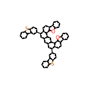 c1ccc2c(c1)oc1c2ccc2c(-c3ccc4sc5ccccc5c4c3)cc3cc4cc(-c5ccc6sc7ccccc7c6c5)c5ccc6c7ccccc7oc6c5c4cc3c21